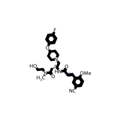 COc1ccc(C#N)cc1/C=C/C(=O)N[C@H](CC(=O)N(C)CCO)CN1CCC(Oc2ccc(F)cc2)CC1